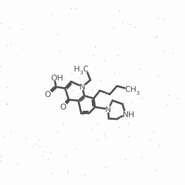 CCCCc1c(N2CCNCC2)ccc2c(=O)c(C(=O)O)cn(CC)c12